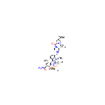 COc1c(C(N)=O)cc(C(C)(C)C)c(-c2c(C(=O)O)n(C)c3c(CN4CCN(C(=O)[C@H]5C[C@@H](OC)CN5C)CC4)cccc23)c1NS(C)(=O)=O